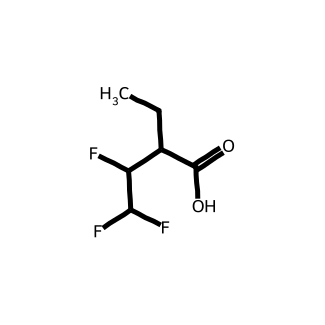 CCC(C(=O)O)C(F)C(F)F